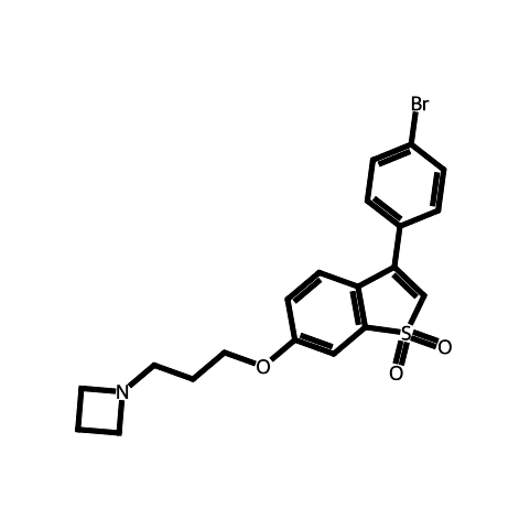 O=S1(=O)C=C(c2ccc(Br)cc2)c2ccc(OCCCN3CCC3)cc21